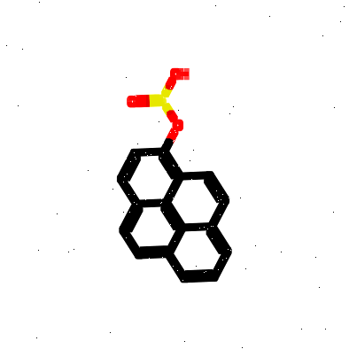 O=S(O)Oc1ccc2ccc3cccc4ccc1c2c34